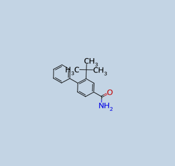 CC(C)(C)c1cc(C(N)=O)ccc1-c1ccccc1